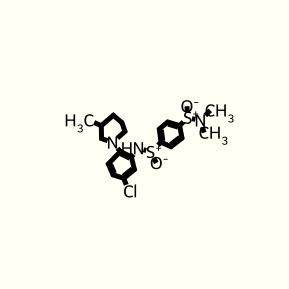 CC1CCCN(c2ccc(Cl)cc2N[S+]([O-])c2ccc([S+]([O-])N(C)C)cc2)C1